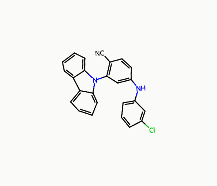 N#Cc1ccc(Nc2cccc(Cl)c2)cc1-n1c2ccccc2c2ccccc21